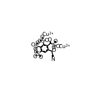 N#CC(=O)c1cc(S(=O)(=O)[O-])c(S(=O)(=O)[O-])c(S(=O)(=O)[O-])c1C(=O)S(=O)(=O)[O-].[Cu+2].[Cu+2]